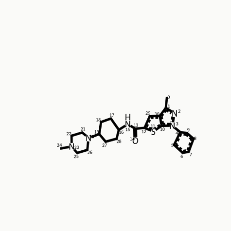 Cc1nn(-c2ccccc2)c2sc(C(=O)NC3CCC(N4CCN(C)CC4)CC3)cc12